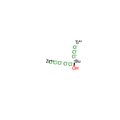 CC(C)(C)O.[Cl-].[Cl-].[Cl-].[Cl-].[Cl-].[Cl-].[Cl-].[Cl-].[Ti+4].[Zr+4]